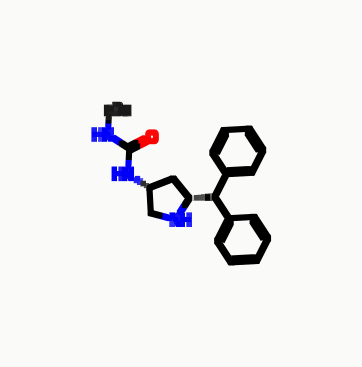 CCCCNC(=O)N[C@H]1CN[C@@H](C(c2ccccc2)c2ccccc2)C1